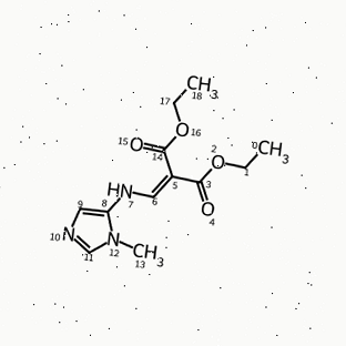 CCOC(=O)C(=CNc1cncn1C)C(=O)OCC